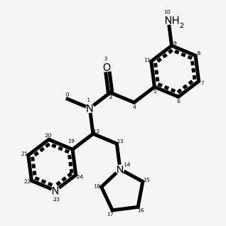 CN(C(=O)Cc1cccc(N)c1)C(CN1CCCC1)c1cccnc1